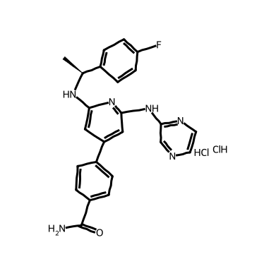 C[C@H](Nc1cc(-c2ccc(C(N)=O)cc2)cc(Nc2cnccn2)n1)c1ccc(F)cc1.Cl.Cl